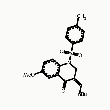 CCCCC=C1CN(S(=O)(=O)c2ccc(C)cc2)c2ccc(OC)cc2C1=O